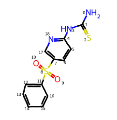 NC(=S)Nc1ccc(S(=O)(=O)c2ccccc2)cn1